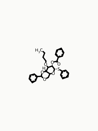 CCCCOC1[C@H]2OC(c3ccccc3)OCC2O[C@@H](Sc2ccccc2)[C@H]1OC(=O)c1ccccc1